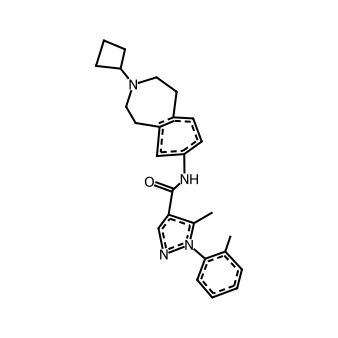 Cc1ccccc1-n1ncc(C(=O)Nc2ccc3c(c2)CCN(C2CCC2)CC3)c1C